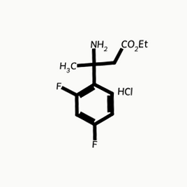 CCOC(=O)CC(C)(N)c1ccc(F)cc1F.Cl